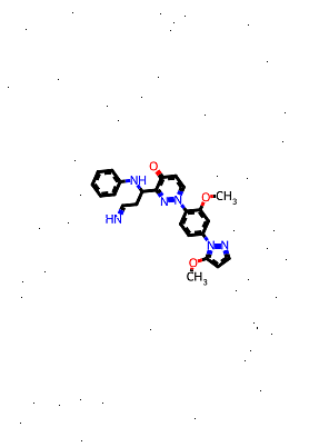 COc1cc(-n2nccc2OC)ccc1-n1ccc(=O)c(C(CC=N)Nc2ccccc2)n1